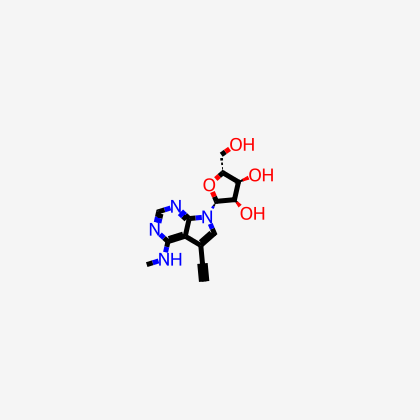 C#Cc1cn([C@@H]2O[C@H](CO)[C@@H](O)[C@H]2O)c2ncnc(NC)c12